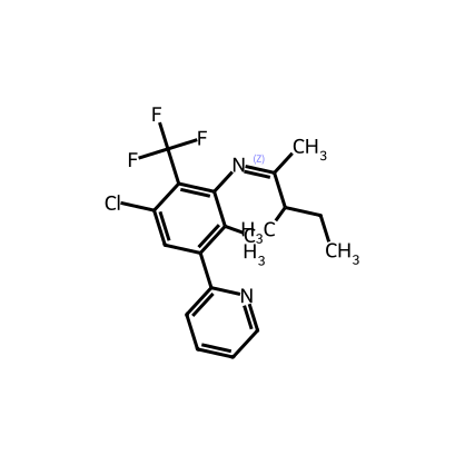 CCC(C)/C(C)=N\c1c(C)c(-c2ccccn2)cc(Cl)c1C(F)(F)F